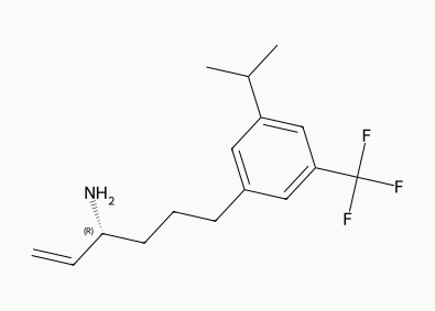 C=C[C@H](N)CCCc1cc(C(C)C)cc(C(F)(F)F)c1